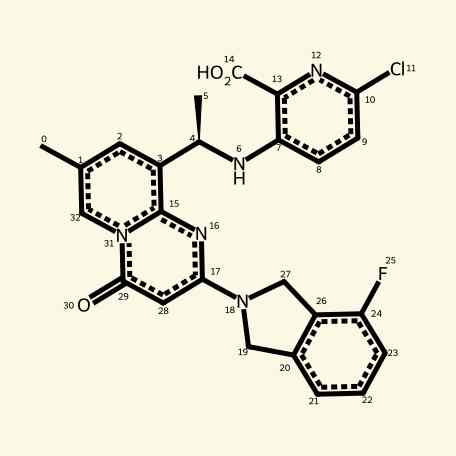 Cc1cc([C@@H](C)Nc2ccc(Cl)nc2C(=O)O)c2nc(N3Cc4cccc(F)c4C3)cc(=O)n2c1